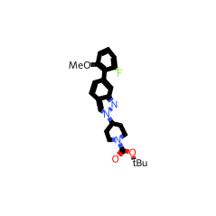 COc1cccc(F)c1-c1ccc2cn(C3CCN(C(=O)OC(C)(C)C)CC3)nc2c1